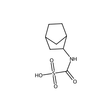 O=C(NC1CC2CCC1C2)S(=O)(=O)O